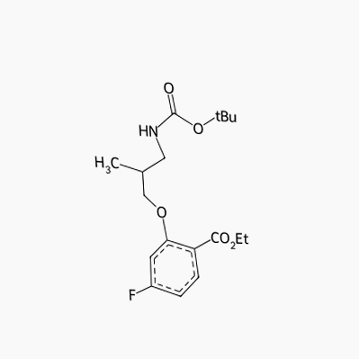 CCOC(=O)c1ccc(F)cc1OCC(C)CNC(=O)OC(C)(C)C